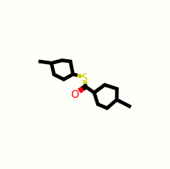 CC1CCC(SC(=O)C2CCC(C)CC2)CC1